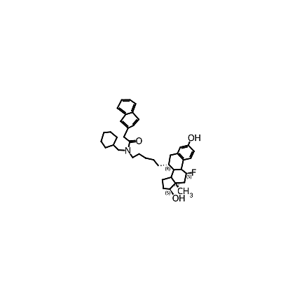 C[C@]12C[C@H](F)C3c4ccc(O)cc4C[C@@H](CCCCCN(CC4CCCCC4)C(=O)Cc4ccc5ccccc5c4)C3C1CC[C@@H]2O